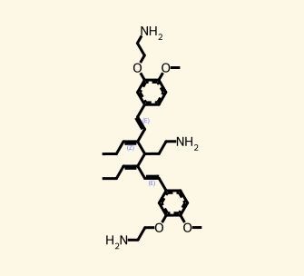 CCC=C(/C=C/c1ccc(OC)c(OCCN)c1)C(CCN)C(=C\CC)/C=C/c1ccc(OC)c(OCCN)c1